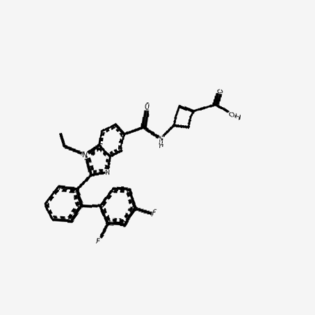 CCn1c(-c2ccccc2-c2ccc(F)cc2F)nc2cc(C(=O)NC3CC(C(=O)O)C3)ccc21